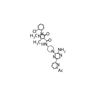 CC(=O)c1cccc(-c2cnc(N)c(N3CCC(NC(=O)c4c(C)n(C)n(-c5ccccc5Cl)c4=O)CC3)n2)n1